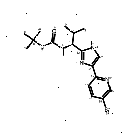 CC(C)[C@H](NC(=O)OC(C)(C)C)c1nc(-c2ccc(Br)cn2)c[nH]1